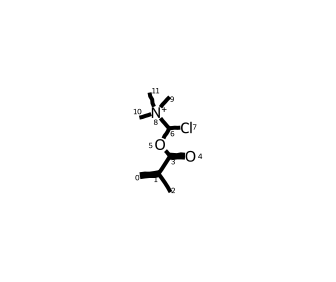 C=C(C)C(=O)OC(Cl)[N+](C)(C)C